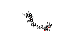 NC(=O)c1c(F)cccc1Nc1nc(NC2CCN(S(=O)(=O)CCNC(=O)CCNC(=O)COc3cccc4c3C(=O)N(C3CCC(=O)NC3=O)C4=O)CC2)ncc1Br